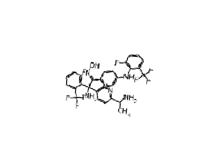 CC(N)c1ccc(C(N)(C(=NO)c2ccc(Nc3c(F)cccc3C(F)(F)F)cn2)c2c(F)cccc2C(F)(F)F)cn1